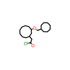 O=C(Cl)CC1CCCCCCCC(OCC2CCCCCCC2)C1